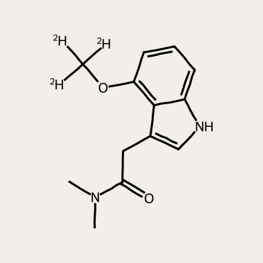 [2H]C([2H])([2H])Oc1cccc2[nH]cc(CC(=O)N(C)C)c12